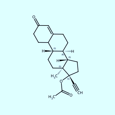 C#C[C@]1(OC(C)=O)CC[C@H]2[C@@H]3CCC4=CC(=O)CCC4[C@H]3CC[C@@]21C